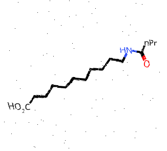 CCCC(=O)NCCCCCCCCCCC(=O)O